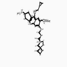 COc1cc2c(NCC3CC3)c3c(nc2cc1OCCCN1CCC2(CCC2)C1)CC(C)C3